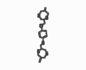 C=C1CSCC(COc2ccc(SCC3CSCC(=C)CS3)cc2)SC1